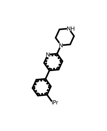 CC(C)c1cccc(-c2ccc(N3CCNCC3)nc2)c1